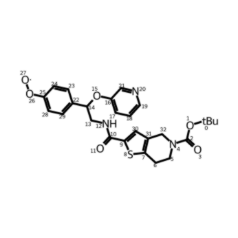 CC(C)(C)OC(=O)N1CCc2sc(C(=O)NCC(Oc3cccnc3)c3c[c]c(O[O])cc3)cc2C1